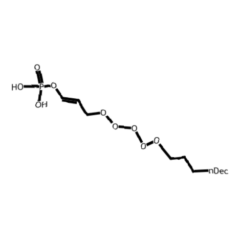 CCCCCCCCCCCCCOOOOOCC=COP(=O)(O)O